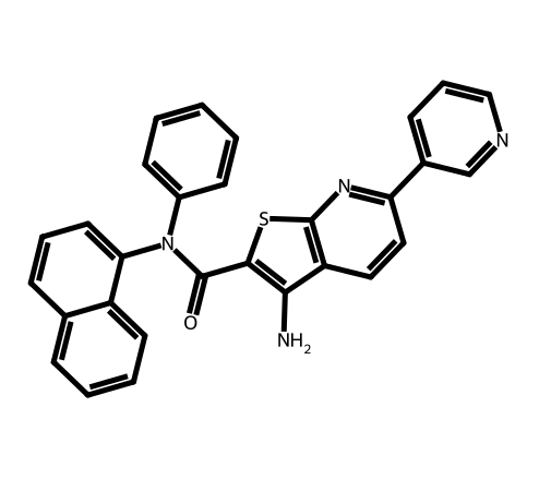 Nc1c(C(=O)N(c2ccccc2)c2cccc3ccccc23)sc2nc(-c3cccnc3)ccc12